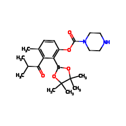 Cc1ccc(OC(=O)N2CCNCC2)c(B2OC(C)(C)C(C)(C)O2)c1C(=O)C(C)C